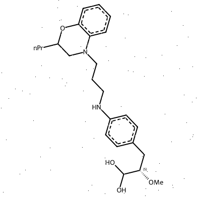 CCCC1CN(CCCNc2ccc(C[C@H](OC)C(O)O)cc2)c2ccccc2O1